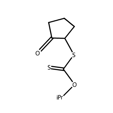 CC(C)OC(=S)SC1CCCC1=O